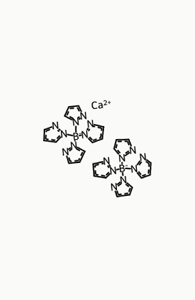 [Ca+2].c1cnn([B-](n2cccn2)(n2cccn2)n2cccn2)c1.c1cnn([B-](n2cccn2)(n2cccn2)n2cccn2)c1